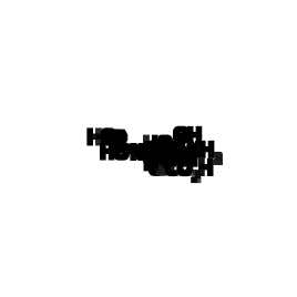 NC/N=C(/NC[C@H](NC(=O)c1c(Cl)cc2c(c1Cl)CCN(CCC(O)c1cccc(O)c1)C2)C(=O)O)N(CCO)CCO